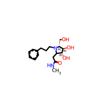 CNC(=O)CC1[C@@H](O)[C@H](O)[C@@H](CO)N1CCCc1ccccc1